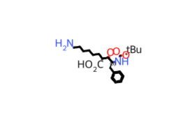 CC(C)(C)OC(=O)N[C@@H](Cc1ccccc1)C(=O)C(CCCCCCN)C(=O)O